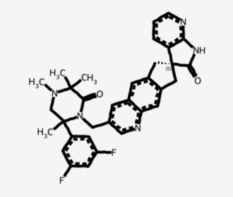 CN1CC(C)(c2cc(F)cc(F)c2)N(Cc2cnc3cc4c(cc3c2)C[C@@]2(C4)C(=O)Nc3ncccc32)C(=O)C1(C)C